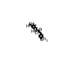 CNC(=Cc1ccc(NC)cc1)C(=O)C=Cc1ccc(C)cc1